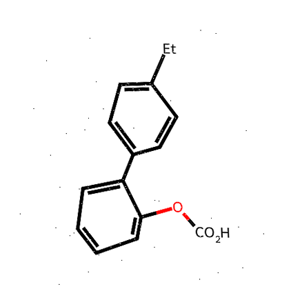 CCc1ccc(-c2ccccc2OC(=O)O)cc1